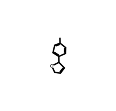 Cc1ccc(C2C=CCO2)cc1